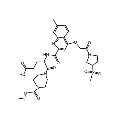 CCOC(=O)N1CCN(C(=O)[C@H](CCC(=O)O)NC(=O)c2cc(OCC(=O)N3CCC(S(C)(=O)=O)C3)c3ccc(C)cc3n2)CC1